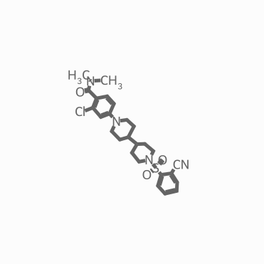 CN(C)C(=O)c1ccc(N2CCC(C3CCN(S(=O)(=O)c4ccccc4C#N)CC3)CC2)cc1Cl